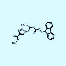 CC(C)(C)OC(=O)c1cn(CC(NC(=O)OCC2c3ccccc3-c3ccccc32)C(=O)O)nn1